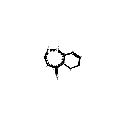 O=c1ccnnc2c1CCC=C2